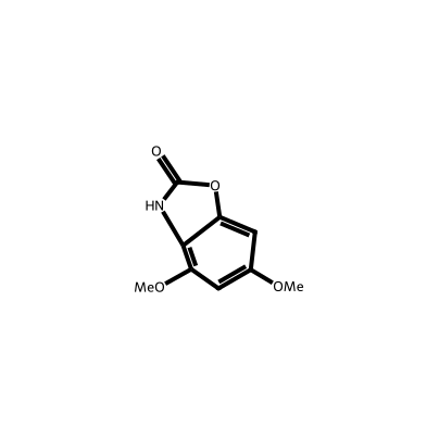 COc1cc(OC)c2[nH]c(=O)oc2c1